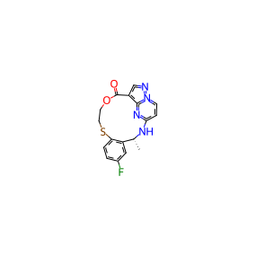 C[C@H]1Nc2ccn3ncc(c3n2)C(=O)OCCSc2ccc(F)cc21